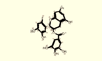 O=C(O[C@@H]1Cc2c(O)cc(O)cc2O[C@H]1c1cc(O)c(O)cc1F)c1cc(O)c(O)c(O)c1